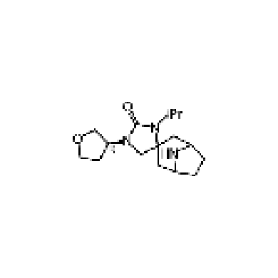 CC(C)N1C(=O)N([C@H]2CCOC2)CC12CC1CCC(C2)N1